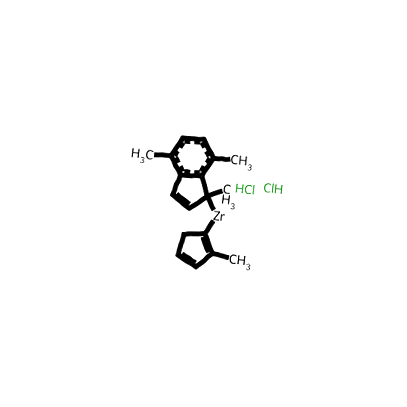 CC1=[C]([Zr][C]2(C)C=Cc3c(C)ccc(C)c32)CC=C1.Cl.Cl